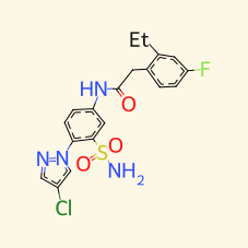 CCc1cc(F)ccc1CC(=O)Nc1ccc(-n2cc(Cl)cn2)c(S(N)(=O)=O)c1